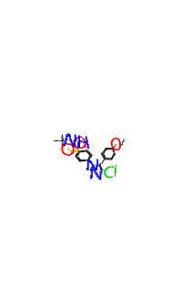 CCOc1ccc(-c2c(Cl)ncn2-c2ccc(S(=O)(=O)NC(C)(C)C)cc2)cc1